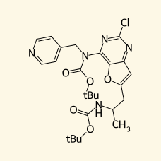 CC(Cc1cc2nc(Cl)nc(N(Cc3ccncc3)C(=O)OC(C)(C)C)c2o1)NC(=O)OC(C)(C)C